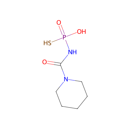 O=C(NP(=O)(O)S)N1CCCCC1